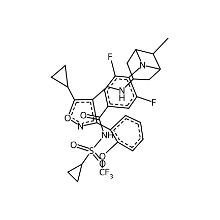 CC1C2CC(NCc3c(-c4ccccc4OC(F)(F)F)noc3C3CC3)CC1N2c1c(F)cc(C(=O)NS(=O)(=O)C2CC2)cc1F